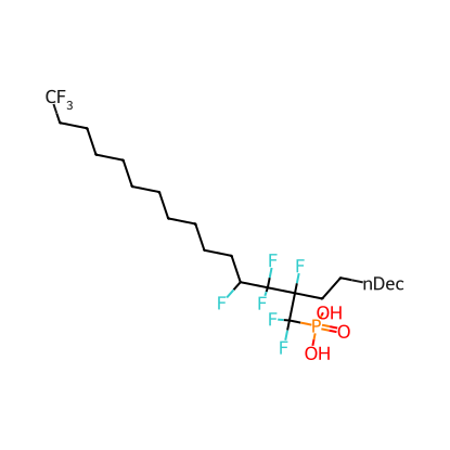 CCCCCCCCCCCCC(F)(C(F)(F)C(F)CCCCCCCCCCC(F)(F)F)C(F)(F)P(=O)(O)O